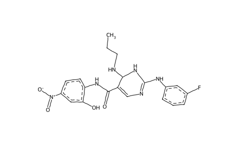 CCCNC1NC(Nc2cccc(F)c2)=NC=C1C(=O)Nc1ccc([N+](=O)[O-])cc1O